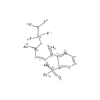 C=C(/C=C\N(CC(F)(F)C(F)F)C(C)=O)c1ncccc1S(=N)(=O)CC